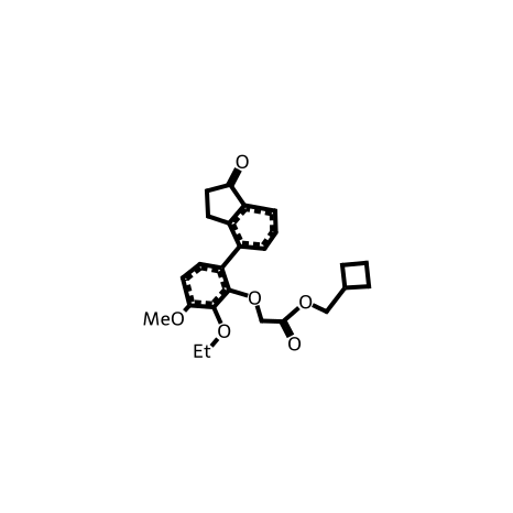 CCOc1c(OC)ccc(-c2cccc3c2CCC3=O)c1OCC(=O)OCC1CCC1